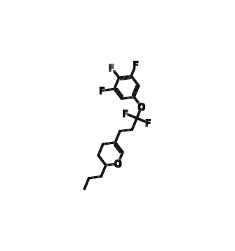 CCCC1CCC(CCC(F)(F)Oc2cc(F)c(F)c(F)c2)=CO1